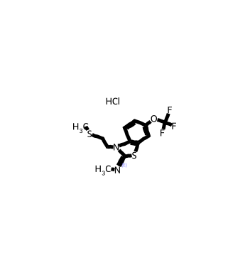 C/N=c1/sc2cc(OC(F)(F)F)ccc2n1CCSC.Cl